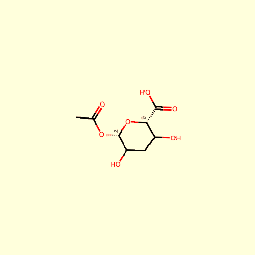 CC(=O)O[C@@H]1O[C@H](C(=O)O)C(O)CC1O